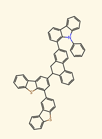 c1ccc(-n2c3ccccc3c3cccc(-c4ccc5c(c4)CC(c4cc(-c6ccc7sc8ccccc8c7c6)c6sc7ccccc7c6c4)c4ccccc4-5)c32)cc1